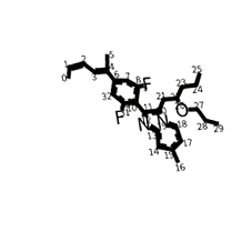 C/C=C\C=C(/C)c1cc(F)c(-c2nc3cc(C)ccn3c2CC(CCC)OCCC)c(F)c1